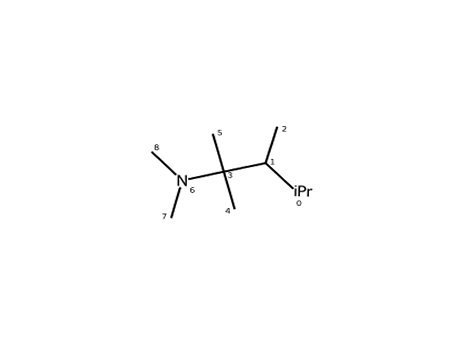 CC(C)C(C)C(C)(C)N(C)C